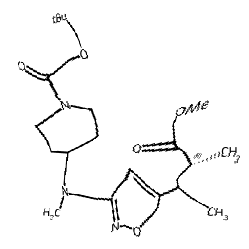 COC(=O)[C@H](C)C(C)c1cc(N(C)C2CCN(C(=O)OC(C)(C)C)CC2)no1